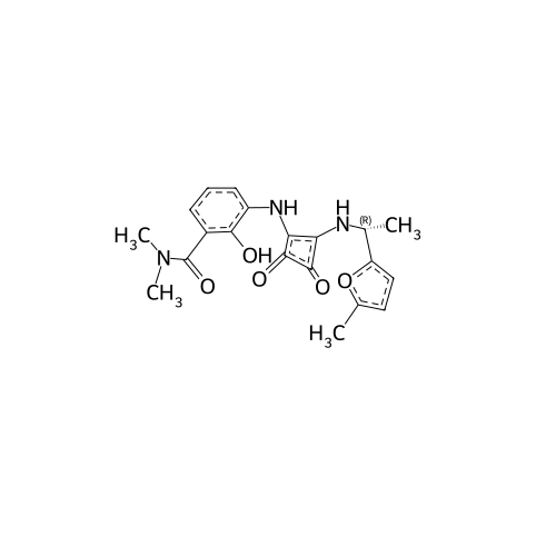 Cc1ccc([C@@H](C)Nc2c(Nc3cccc(C(=O)N(C)C)c3O)c(=O)c2=O)o1